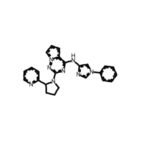 c1ccc(-n2cnc(Nc3nc(N4CCCC4c4ccccn4)nn4cccc34)c2)cc1